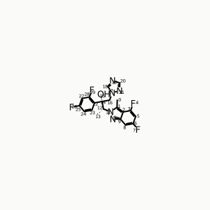 Cc1c2c(F)cc(F)cc2nn1[C@H](C)[C@](O)(Cn1cncn1)c1ccc(F)cc1F